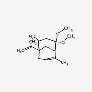 C=C(C)C12CC=C(C)C(C1)C(OC)(OC)CC2C